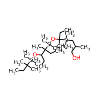 CCC(O[Si](C)(C)C(C)(C)CC)C(C)(CC)[Si](C)(C)OC(C)(CC)[Si](C)(C)CC(C)CO